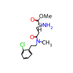 COC(=O)[Si@@H](N)CCC(=O)N(C)CCc1ccccc1Cl